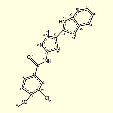 COc1ccc(C(=O)Nc2n[nH]c(-c3nc4ccccc4[nH]3)n2)cc1Cl